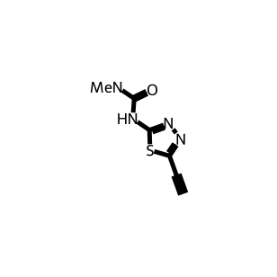 C#Cc1nnc(NC(=O)NC)s1